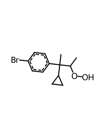 CC(OO)C(C)(c1ccc(Br)cc1)C1CC1